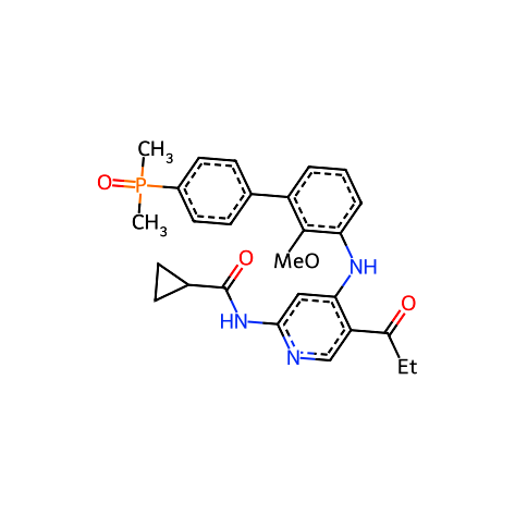 CCC(=O)c1cnc(NC(=O)C2CC2)cc1Nc1cccc(-c2ccc(P(C)(C)=O)cc2)c1OC